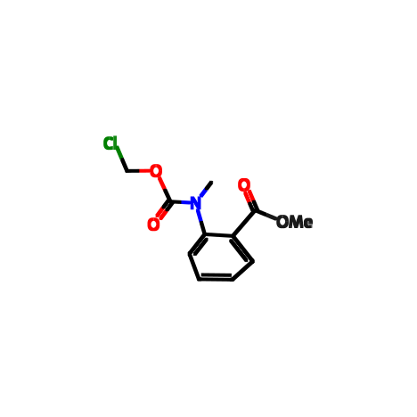 COC(=O)c1ccccc1N(C)C(=O)OCCl